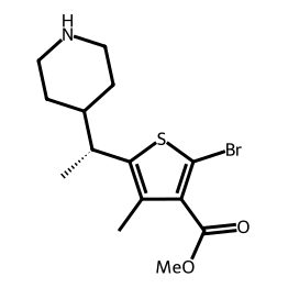 COC(=O)c1c(Br)sc([C@H](C)C2CCNCC2)c1C